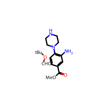 CC(C)(C)OC=O.COC(=O)c1ccc(N2CCNCC2)c(N)c1